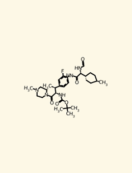 C[C@@H](c1ccc(NC(=O)[C@@H](NC=O)[C@H]2CC[C@H](C)CC2)c(F)c1)[C@@H](NC(=O)OC(C)(C)C)C(=O)N1CCN(C)CC1